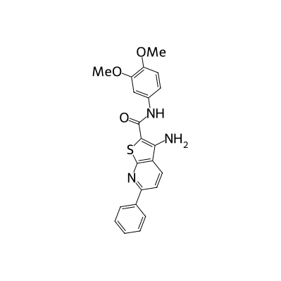 COc1ccc(NC(=O)c2sc3nc(-c4ccccc4)ccc3c2N)cc1OC